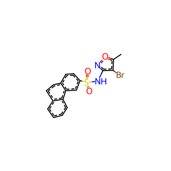 Cc1onc(NS(=O)(=O)c2ccc3ccc4ccccc4c3c2)c1Br